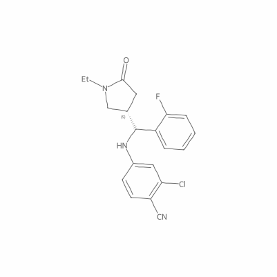 CCN1C[C@@H](C(Nc2ccc(C#N)c(Cl)c2)c2ccccc2F)CC1=O